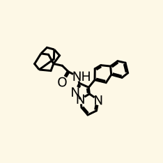 O=C(CC12CC3CC(CC(C3)C1)C2)Nc1nn2cccnc2c1-c1ccc2ccccc2c1